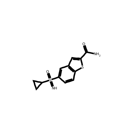 N=S(=O)(c1ccc2sc(C(N)=O)cc2c1)C1CC1